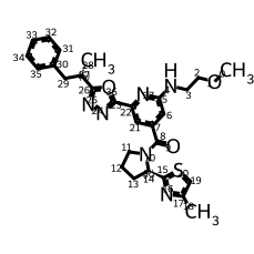 COCCNc1cc(C(=O)N2CCC[C@@H]2c2nc(C)cs2)cc(-c2nnc([C@@H](C)Cc3ccccc3)o2)n1